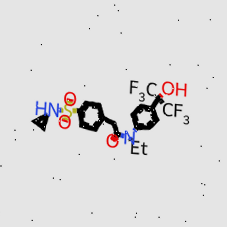 CCN(C(=O)Cc1ccc(S(=O)(=O)NC2CC2)cc1)c1ccc(C(O)(C(F)(F)F)C(F)(F)F)cc1